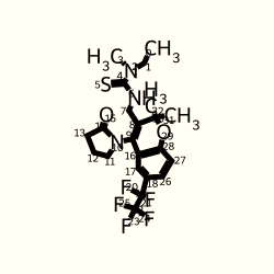 CCN(C)C(=S)NCC1=C(N2CCCC2=O)c2cc(C(F)(F)C(F)(F)F)ccc2OC1(C)C